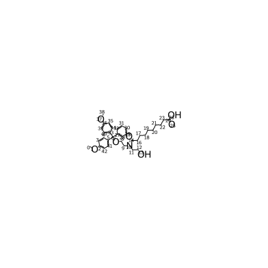 COc1ccc(C(OCCN(CCO)C(=O)CCCCCCCCC(=O)O)(c2ccccc2)c2ccc(OC)cc2)cc1